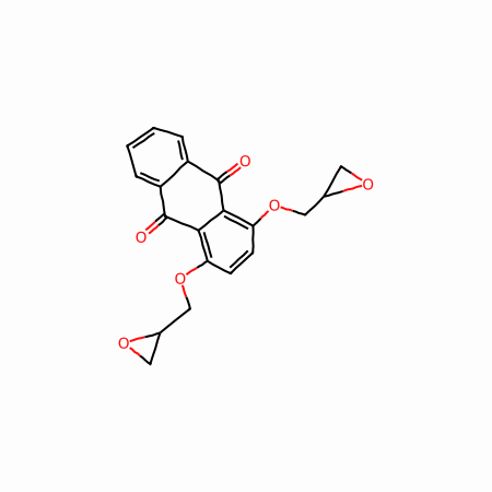 O=C1c2ccccc2C(=O)c2c(OCC3CO3)ccc(OCC3CO3)c21